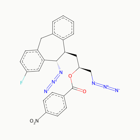 [N-]=[N+]=NC[C@H](C[C@@H]1c2ccccc2Cc2ccc(F)cc2[C@H]1N=[N+]=[N-])OC(=O)c1ccc([N+](=O)[O-])cc1